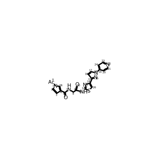 CC(=O)n1ccc(C(=O)NCC(=O)Nc2nc(-c3ccn(-c4ccncc4)n3)cs2)c1